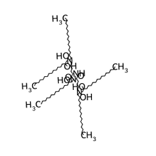 CCCCCCCCCCCCCCC(O)CN(CCCCC1NC(=O)C(CCCCN(CC(O)CCCCCCCCCCCCCC)CC(O)CCCCCCCCCCCCCC)N(CC(O)CCCCCCCCCCCCCC)C1=O)CC(O)CCCCCCCCCCCCCC